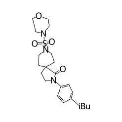 CCC(C)c1ccc(N2CCC3(CCN(S(=O)(=O)N4CCOCC4)CC3)C2=O)cc1